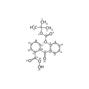 CC(C)(C)OC(=O)Oc1ccccc1C(=O)c1ccccc1C(=O)OO